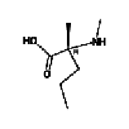 CCC[C@@](C)(NC)C(=O)O